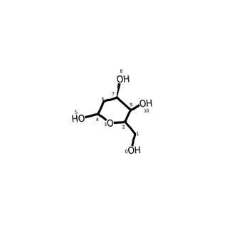 OCC1OC(O)C[C@@H](O)C1O